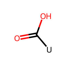 O=[C](O)[U]